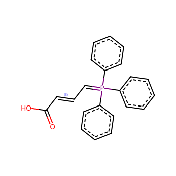 O=C(O)/C=C/C=P(c1ccccc1)(c1ccccc1)c1ccccc1